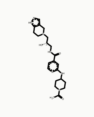 CC(=O)N1CCC(Nc2cc(C(=O)NC[C@H](O)CN3CCc4[nH]ncc4C3)ccn2)CC1